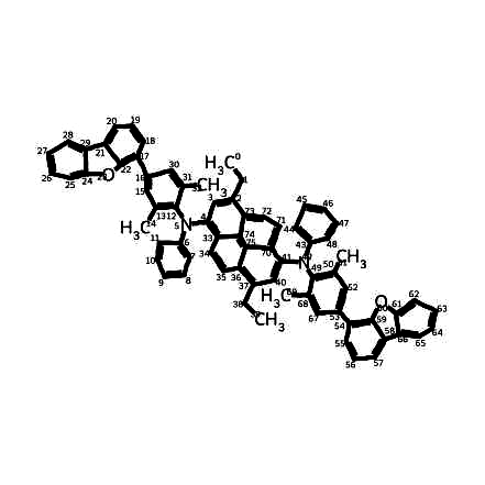 CCc1cc(N(c2ccccc2)c2c(C)cc(-c3cccc4c3oc3ccccc34)cc2C)c2ccc3c(CC)cc(N(c4ccccc4)c4c(C)cc(-c5cccc6c5oc5ccccc56)cc4C)c4ccc1c2c34